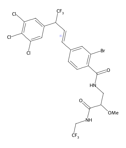 COC(CNC(=O)c1ccc(/C=C/C(c2cc(Cl)c(Cl)c(Cl)c2)C(F)(F)F)cc1Br)C(=O)NCC(F)(F)F